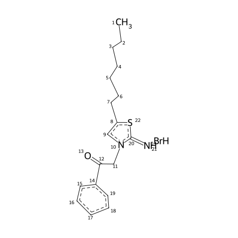 Br.CCCCCCCc1cn(CC(=O)c2ccccc2)c(=N)s1